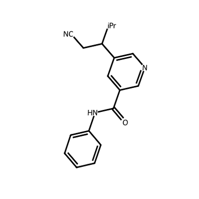 CC(C)C(CC#N)c1cncc(C(=O)Nc2ccccc2)c1